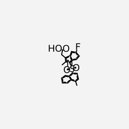 Cc1ccc(S(=O)(=O)n2c(C)c(CC(=O)O)c3cc(F)ccc32)c2ccccc12